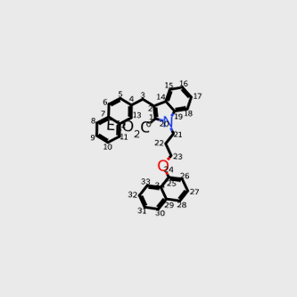 CCOC(=O)c1c(Cc2ccc3ccccc3c2)c2ccccc2n1CCCOc1cccc2ccccc12